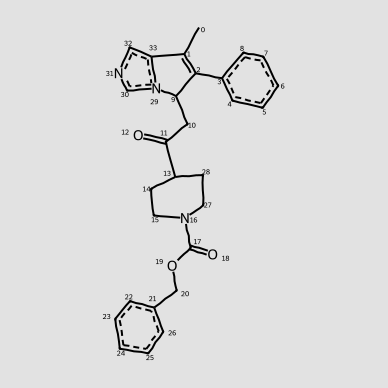 CC1=C(c2ccccc2)C(CC(=O)C2CCN(C(=O)OCc3ccccc3)CC2)n2cncc21